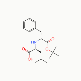 CC(C)C[C@H](N[C@H](Cc1ccccc1)C(=O)OC(C)(C)C)C(=O)O